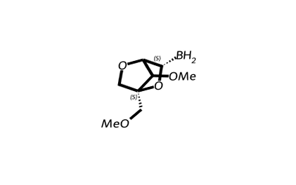 B[C@@H]1O[C@@]2(COC)COC1C2OC